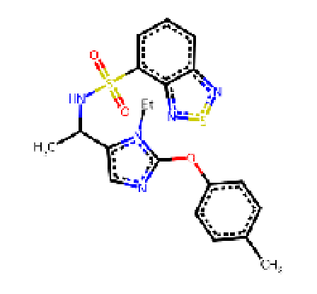 CCn1c(C(C)NS(=O)(=O)c2cccc3nsnc23)cnc1Oc1ccc(C)cc1